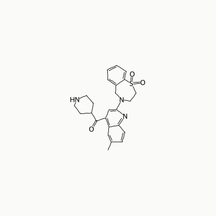 Cc1ccc2nc(N3CCS(=O)(=O)c4ccccc4C3)cc(C(=O)C3CCNCC3)c2c1